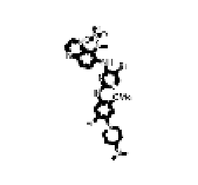 CCc1cc(Nc2ncc(Br)c(Nc3ccc4nccnc4c3N(C)S(=O)(=O)C(C)C)n2)c(OC)cc1N1CCC(N(C)C)CC1